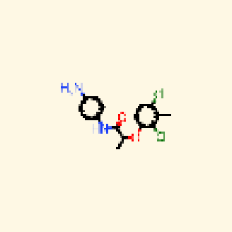 Cc1c(Cl)ccc(OC(C)C(=O)Nc2ccc(N)cc2)c1Cl